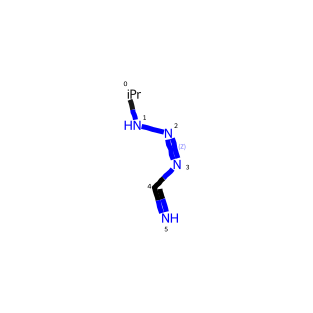 CC(C)N/N=N\C=N